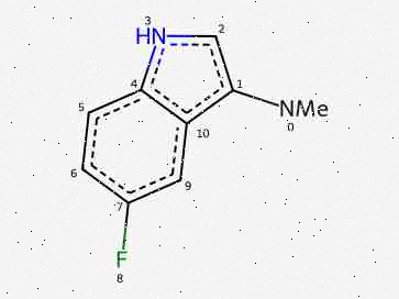 CNc1c[nH]c2ccc(F)cc12